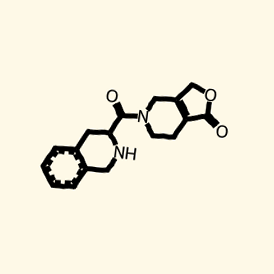 O=C1OCC2=C1CCN(C(=O)C1Cc3ccccc3CN1)C2